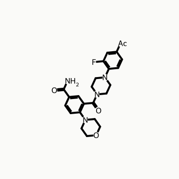 CC(=O)c1ccc(N2CCN(C(=O)c3cc(C(N)=O)ccc3N3CCOCC3)CC2)c(F)c1